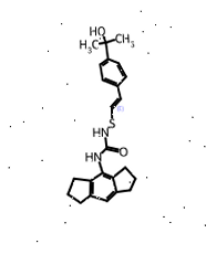 CC(C)(O)c1ccc(/C=C/SNC(=O)Nc2c3c(cc4c2CCC4)CCC3)cc1